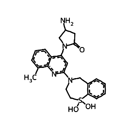 Cc1cccc2c(N3CC(N)CC3=O)cc(N3CCS(O)(O)c4ccccc4C3)nc12